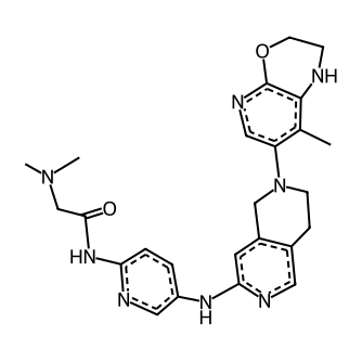 Cc1c(N2CCc3cnc(Nc4ccc(NC(=O)CN(C)C)nc4)cc3C2)cnc2c1NCCO2